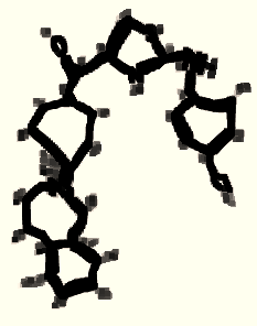 O=C(c1csc(Nc2ccc(Cl)cc2)n1)N1CCC(N2CCc3ccccc3C2)CC1